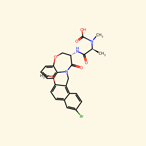 COc1ccc2cc(Br)ccc2c1CN1C(=O)[C@@H](NC(=O)[C@H](C)N(C)C(=O)O)COc2ccccc21